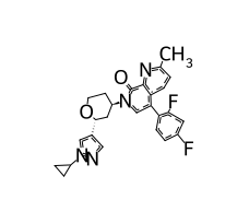 Cc1ccc2c(-c3ccc(F)cc3F)cn([C@@H]3CCO[C@@H](c4cnn(C5CC5)c4)C3)c(=O)c2n1